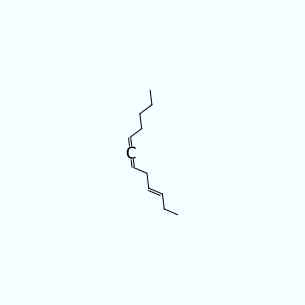 CCC=CCC=C=CCCCC